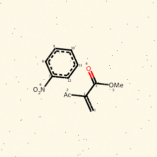 C=C(C(C)=O)C(=O)OC.O=[N+]([O-])c1ccccc1